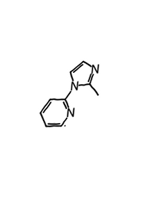 Cc1nccn1-c1ccc[c]n1